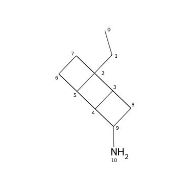 CCC12C3C4C1C1C2C3C41N